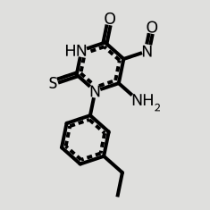 CCc1cccc(-n2c(N)c(N=O)c(=O)[nH]c2=S)c1